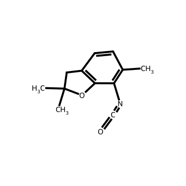 Cc1ccc2c(c1N=C=O)OC(C)(C)C2